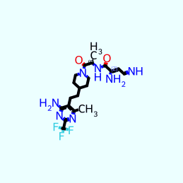 Cc1nc(C(F)(F)F)nc(N)c1CCC1CCN(C(=O)[C@H](C)NC(=O)/C(N)=C/C=N)CC1